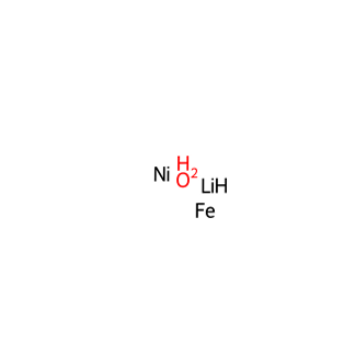 O.[Fe].[LiH].[Ni]